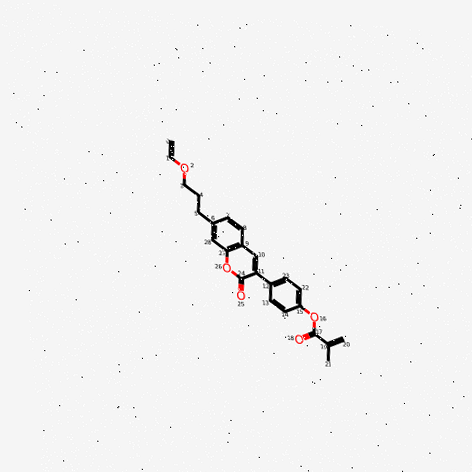 C=COCCCc1ccc2cc(-c3ccc(OC(=O)C(=C)C)cc3)c(=O)oc2c1